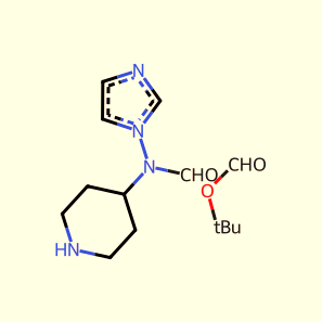 CC(C)(C)OC=O.O=CN(C1CCNCC1)n1ccnc1